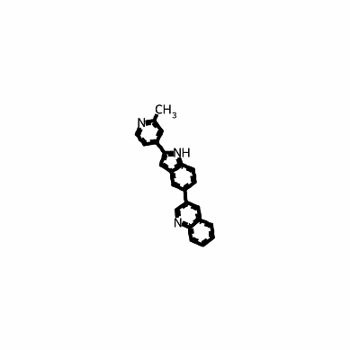 Cc1cc(-c2cc3cc(-c4cnc5ccccc5c4)ccc3[nH]2)ccn1